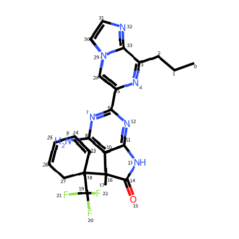 CCCc1nc(-c2nc(N)c3c(n2)NC(=O)C3(C)C2(C(F)(F)F)C=CC=CC2)cn2ccnc12